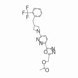 CC(=O)OCc1nnc(-c2ccc(N3CC(Cc4ccccc4C(F)(F)F)C3)nn2)o1